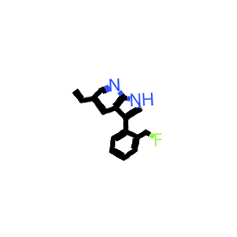 C=Cc1cnc2[nH]cc(-c3ccccc3CF)c2c1